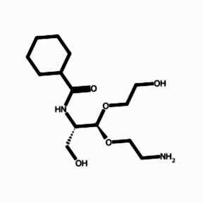 NCCO[C@H](OCCO)[C@H](CO)NC(=O)C1CCCCC1